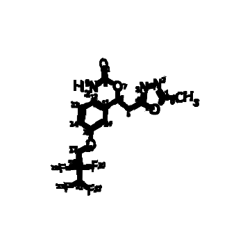 Cc1nnc(CC(OC(N)=O)c2cccc(OCC(F)(F)C(F)F)c2)o1